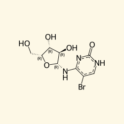 O=c1nc(N[C@@H]2O[C@H](CO)[C@H](O)[C@H]2O)c(Br)c[nH]1